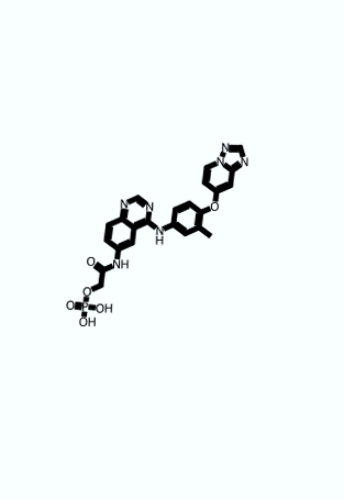 Cc1cc(Nc2ncnc3ccc(NC(=O)COP(=O)(O)O)cc23)ccc1Oc1ccn2ncnc2c1